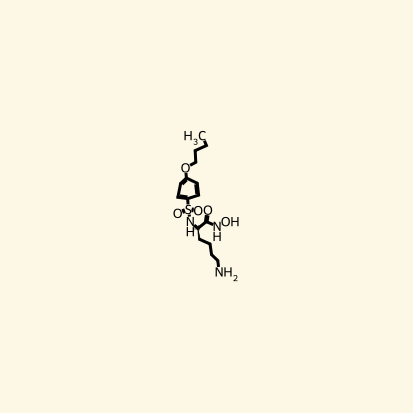 CCCCOc1ccc(S(=O)(=O)N[C@H](CCCCN)C(=O)NO)cc1